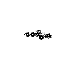 CN1CCN([C@H]2CC[C@@H](n3cc(-c4cccc(OCC5CCC(C)(C)O5)c4)c4c(N)ncnc43)CC2)CC1